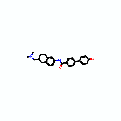 CN(C)CC1CCc2cc(NC(=O)c3ccc(C4=CCC(=O)C=C4)cc3)ccc2C1